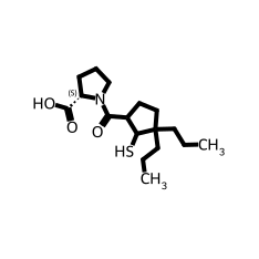 CCCC1(CCC)CCC(C(=O)N2CCC[C@H]2C(=O)O)C1S